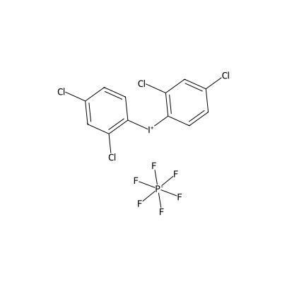 Clc1ccc([I+]c2ccc(Cl)cc2Cl)c(Cl)c1.F[P-](F)(F)(F)(F)F